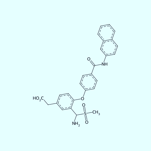 CS(=O)(=O)C(N)c1cc(CC(=O)O)ccc1Oc1ccc(C(=O)Nc2ccc3ccccc3c2)cc1